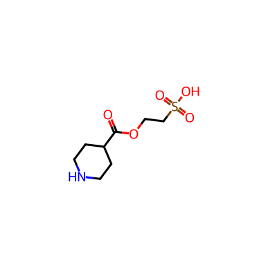 O=C(OCCS(=O)(=O)O)C1CCNCC1